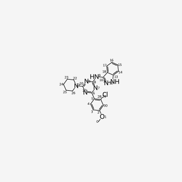 COc1ccc(-c2nc(Nc3n[nH]c4ccccc34)nc(N3CCCCC3)n2)c(Cl)c1